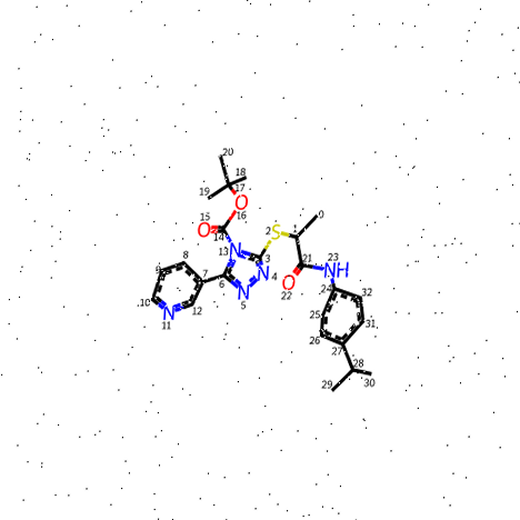 CC(Sc1nnc(-c2cccnc2)n1C(=O)OC(C)(C)C)C(=O)Nc1ccc(C(C)C)cc1